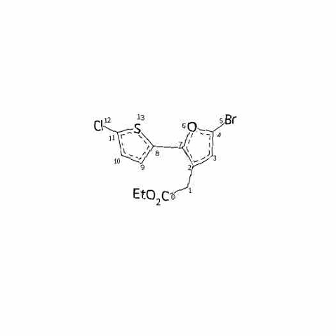 CCOC(=O)Cc1cc(Br)oc1-c1ccc(Cl)s1